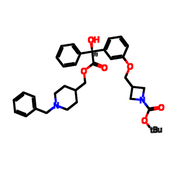 CC(C)(C)OC(=O)N1CC(COc2cccc([C@](O)(C(=O)OCC3CCN(Cc4ccccc4)CC3)c3ccccc3)c2)C1